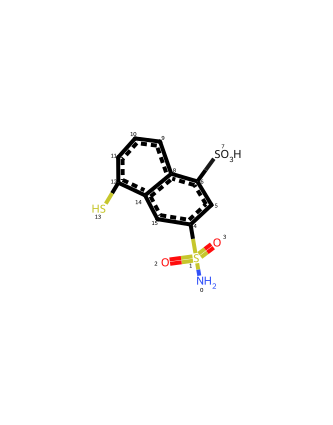 NS(=O)(=O)c1cc(S(=O)(=O)O)c2cccc(S)c2c1